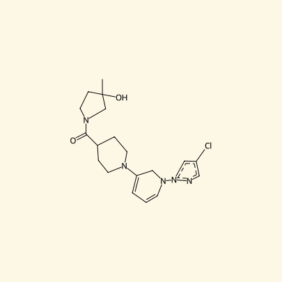 CC1(O)CCN(C(=O)C2CCN(C3=CC=CN(n4cc(Cl)cn4)C3)CC2)C1